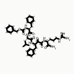 CC(C)C[C@H](NC(=O)[C@H](Cc1ccccc1)NC(=O)OCc1ccccc1)C(=O)NC(Cc1ccccc1)C(=O)C(=O)N[C@@H](CCCNC(=N)N)C(N)=O